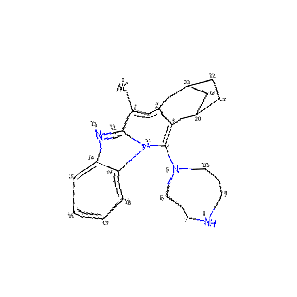 N#Cc1c2c(c(N3CCNCC3)n3c1nc1ccccc13)C1CCC2C1